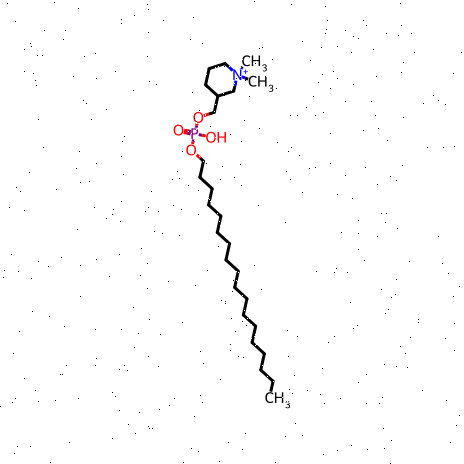 CCCCCCCCCCCCCCCCCCOP(=O)(O)OCC1CCC[N+](C)(C)C1